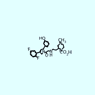 CN1CCN(C(=O)O)C(CCNCC(=O)N2CC(c3cc(F)ccc3F)=CC2c2cccc(O)c2)C1